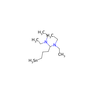 CCN(CC)C(CC[CH2][SnH3])N(CC)CC